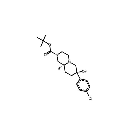 CC(C)(C)OC(=O)N1CCN2C[C@](O)(c3ccc(Cl)cc3)CC[C@H]2C1